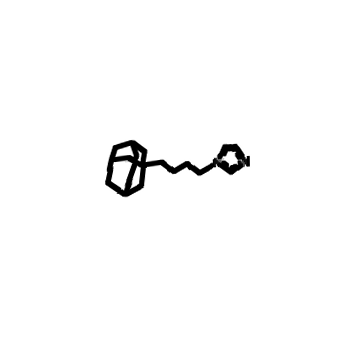 c1cn(CCCCC23CC4CC(CC(C4)C2)C3)cn1